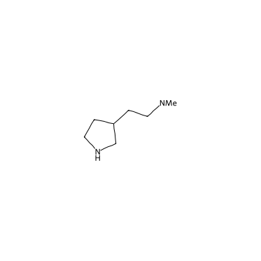 CNCCC1CCNC1